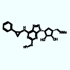 CCCSc1nc(NC2CC2c2ccccc2)c2nnn([C@@H]3C[C@H](CNC)[C@@H](O)[C@H]3O)c2n1